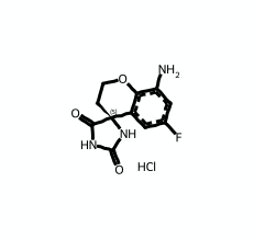 Cl.Nc1cc(F)cc2c1OCC[C@]21NC(=O)NC1=O